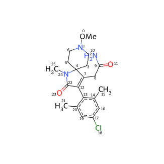 CON1CCC2(CC1)C(CC(N)=O)=C(c1c(C)cc(Cl)cc1C)C(=O)N2C